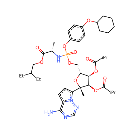 CCC(CC)COC(=O)[C@H](C)NP(=O)(OC[C@H]1O[C@@](C)(c2ccc3c(N)ncnn23)[C@H](OC(=O)C(C)C)[C@@H]1OC(=O)C(C)C)Oc1ccc(OC2CCCCC2)cc1